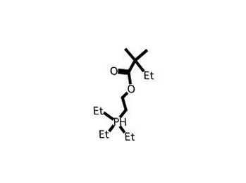 CCC(C)(C)C(=O)OCC[PH](CC)(CC)CC